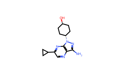 Nc1nn([C@H]2CC[C@H](O)CC2)c2nc(C3CC3)cnc12